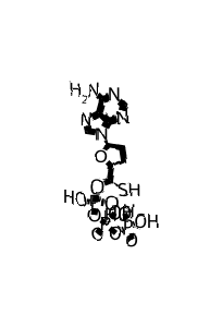 Nc1ncnc2c1ncn2[C@H]1CC[C@@H]([C@H](S)OP(=O)(O)OP(=O)(O)OP(=O)(O)O)O1